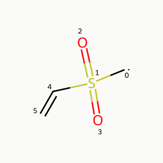 [CH2]S(=O)(=O)C=C